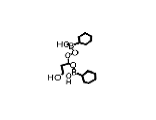 OCCC(OOB(O)C1CCCCC1)OB(O)C1CCCCC1